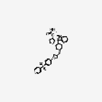 N#CC(c1ccccc1)(C1CCN(CC2CN(c3ccc(S(=O)(=O)c4ccncc4)cc3)C2)CC1)[C@@H]1CCC[C@H]1OC(N)=O